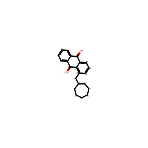 O=C1c2ccccc2C(=O)c2c(CC3[CH]CCCCC3)cccc21